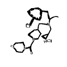 CC(Cc1cccc(Cl)c1)N(CC1CC1)CC1CCN(C(=O)N2CCOCC2)CC1.Cl